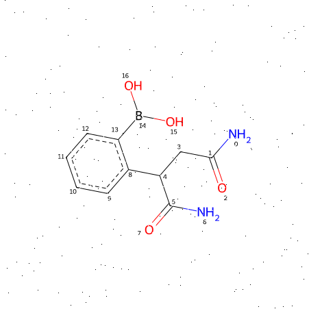 NC(=O)CC(C(N)=O)c1ccccc1B(O)O